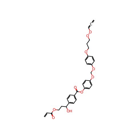 C=C=COOCCCOc1ccc(OCOc2ccc(OC(=O)c3ccc(C(O)CCOC(=O)C=C)cc3)cc2)cc1